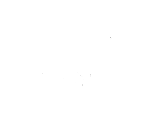 c1cncc(-c2ccc(CN3C[C@@H]4[C@H](COCCCN5CCCCC5)[C@@H]4C3)cc2)c1